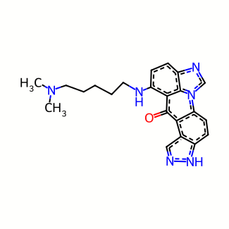 CN(C)CCCCCNc1ccc2ncn3c4ccc5[nH]ncc5c4c(=O)c1c23